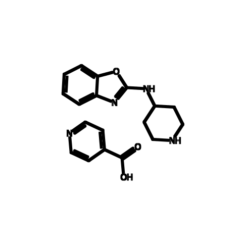 O=C(O)c1ccncc1.c1ccc2oc(NC3CCNCC3)nc2c1